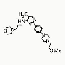 COCCN1CCN(c2ccc(-c3ncc(C)c(NCCCN4CCOCC4)n3)cc2)CC1